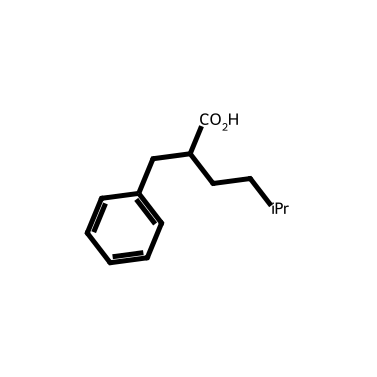 CC(C)CCC(Cc1ccccc1)C(=O)O